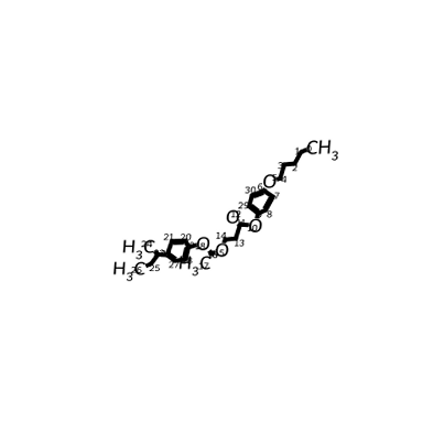 CCCCCOc1ccc(OC(=O)CCOC(C)Oc2ccc(C(C)CC)cc2)cc1